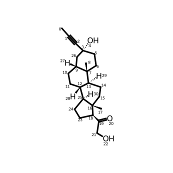 CC#C[C@@]1(O)CC[C@@]2(C)[C@H](CC[C@@H]3[C@@H]2CC[C@]2(C)[C@@H](C(=O)CO)CC[C@@H]32)C1